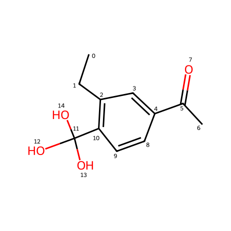 CCc1cc(C(C)=O)ccc1C(O)(O)O